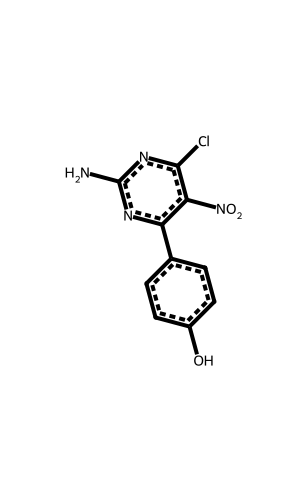 Nc1nc(Cl)c([N+](=O)[O-])c(-c2ccc(O)cc2)n1